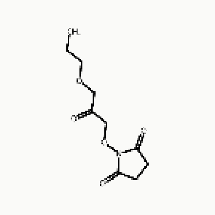 CCCOCC(=O)CON1C(=O)CCC1=O